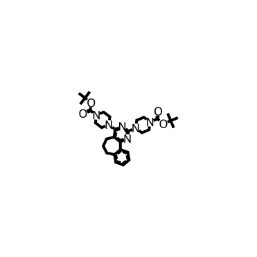 CC(C)(C)OC(=O)N1CCN(c2nc3c(c(N4CCN(C(=O)OC(C)(C)C)CC4)n2)CCCc2ccccc2-3)CC1